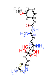 N/C(=C\C=C(/N)NC(=O)Cc1cccc(OC(F)(F)F)c1)C(O)(O)C(O)(O)CCc1nnc(N)s1